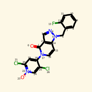 O=c1c2cnn(Cc3ccccc3F)c2ccn1-c1cc(Cl)[n+]([O-])cc1Cl